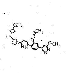 COCOc1cc(-c2cnnc(OC)c2)ccc1-c1ccc(N2CCC(NC3CC(OC)C3)C2)nn1